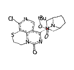 CC(C)(C)OC(=O)N1C2CCC1CN(c1nc(=O)n3c4c(c(Cl)ncc14)SCC3)C2